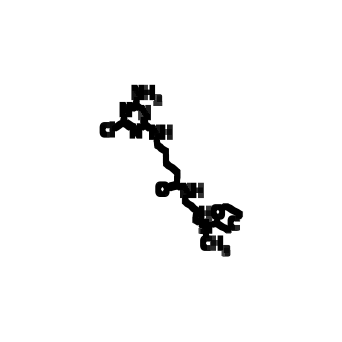 C[SiH](CCCNC(=O)CCCCNc1nc(N)nc(Cl)n1)C1CCCCO1